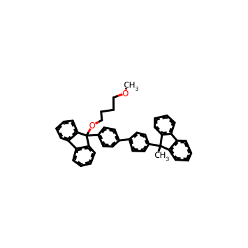 COCCCCOC1(c2ccc(-c3ccc(C4(C)c5ccccc5-c5ccccc54)cc3)cc2)c2ccccc2-c2ccccc21